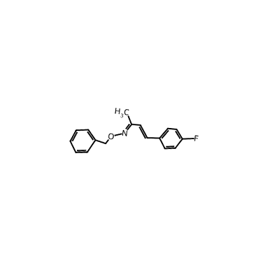 CC(C=Cc1ccc(F)cc1)=NOCc1ccccc1